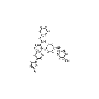 Cn1cc(-c2ccc(N(C(=O)NCc3ccccc3)[C@H]3CC[C@H](Nc4ncc(C#N)cn4)CC3)c(F)c2)cn1